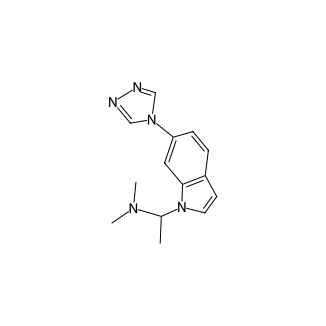 CC(N(C)C)n1ccc2ccc(-n3cnnc3)cc21